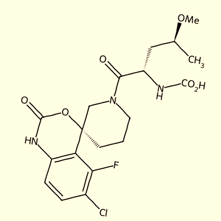 CO[C@@H](C)C[C@H](NC(=O)O)C(=O)N1CCC[C@@]2(C1)OC(=O)Nc1ccc(Cl)c(F)c12